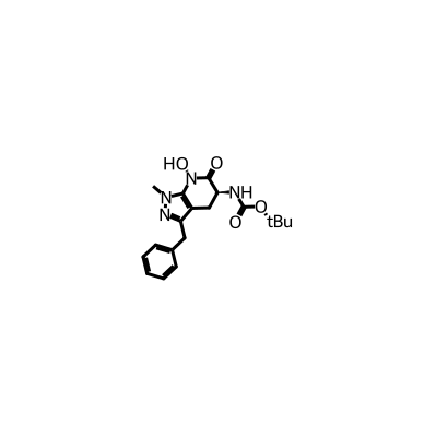 Cn1nc(Cc2ccccc2)c2c1N(O)C(=O)[C@@H](NC(=O)OC(C)(C)C)C2